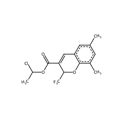 Cc1cc(C)c2c(c1)C=C(C(=O)OC(C)Cl)C(C(F)(F)F)O2